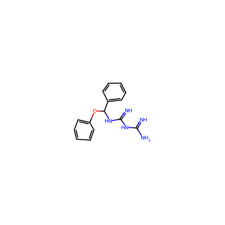 N=C(N)NC(=N)NC(Oc1ccccc1)c1ccccc1